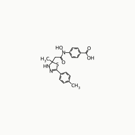 Cc1ccc(C2=NNC(C)(CC(=O)N(O)c3ccc(C(=O)O)cc3)S2)cc1